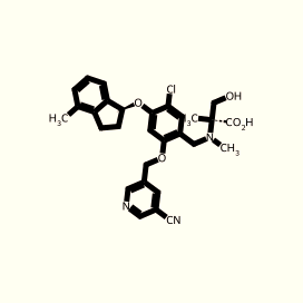 Cc1cccc2c1CC[C@@H]2Oc1cc(OCc2cncc(C#N)c2)c(CN(C)[C@@](C)(CO)C(=O)O)cc1Cl